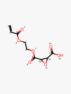 C=CC(=O)OCCOC(=O)C1OC1C(=O)O